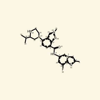 Cc1cn2cc(NC(=O)c3ccc(N4CCNC(C(C)C)C4)c4cn(C)nc34)cc(F)c2n1